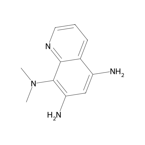 CN(C)c1c(N)cc(N)c2cccnc12